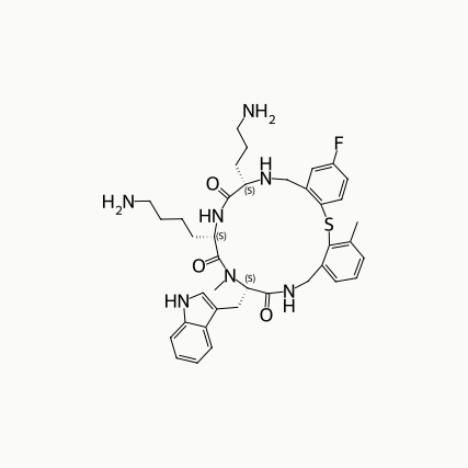 Cc1cccc2c1Sc1ccc(F)cc1CN[C@@H](CCCN)C(=O)N[C@@H](CCCCN)C(=O)N(C)[C@@H](Cc1c[nH]c3ccccc13)C(=O)NC2